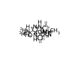 [2H]C([2H])([2H])NC(=O)c1cnc(NC(=O)C2CC2)cc1Nc1cccc(-c2cnc(C)cn2)c1OC